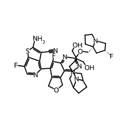 N#Cc1c(N)sc2c(F)cnc(-c3c4c(c5c(N6C7CCC6CN(CC(CO)CO)C7)nc(OC[C@]67CCCN6C[C@H](F)C7)nc5c3F)COC4)c12